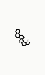 c1ccc2c(c1)ccc1c2ccc2c1sc1ccc3ccoc3c12